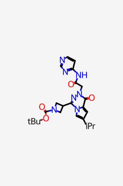 CC(C)c1cc2c(=O)n(CC(=O)Nc3ccncn3)nc(C3CN(C(=O)OC(C)(C)C)C3)n2c1